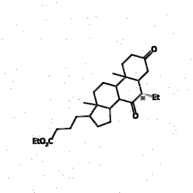 CCOC(=O)CCCC1CCC2C3C(=O)[C@@H](CC)C4CC(=O)CCC4(C)C3CCC12C